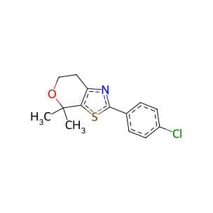 CC1(C)OCCc2nc(-c3ccc(Cl)cc3)sc21